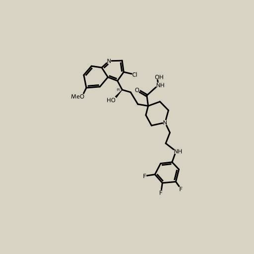 COc1ccc2ncc(Cl)c([C@H](O)CCC3(C(=O)NO)CCN(CCNc4cc(F)c(F)c(F)c4)CC3)c2c1